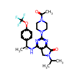 CC(=O)N1CCN(c2nc(N[C@@H](C)c3ccc(OC(F)(F)F)cc3)c3c(n2)C(=O)N(C(C)C)C3)CC1